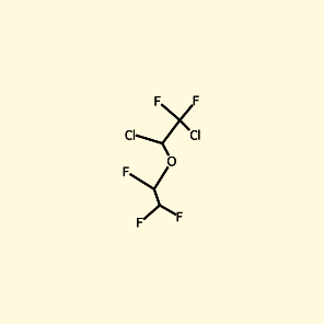 FC(F)C(F)OC(Cl)C(F)(F)Cl